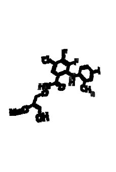 COC(CO)CONC(=O)c1cc(Cl)c(F)c(F)c1Nc1ccc(I)cc1C